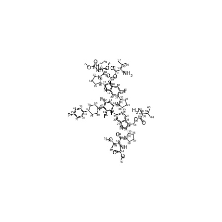 CC[C@](NC(=O)OC)(OC)C(=O)N1CCC[C@H]1c1nc2cc([C@H]3CC[C@H](c4cc5c(cc4F)nc([C@@H]4CCCN4C(=O)[C@@H](NC(=O)OC)[C@@H](C)OC)n5COC(=O)[C@@H](N)C(C)C)N3c3cc(F)c(N4CCC(c5ccc(F)cc5)CC4)c(F)c3)c(F)cc2n1COC(=O)C(N)C(C)C